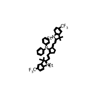 CCN1C(=CC=C2CCC(C=CC3=[N+](CC)c4ccc(C(F)(F)F)cc4C3(C)C)=C2N(c2ccccc2)c2ccccc2)C(C)(C)c2cc(C(F)(F)F)ccc21